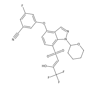 N#Cc1cc(F)cc(Oc2ccc(S(=O)(=O)/C=C(\O)C(F)(F)F)c3c2cnn3C2CCCCO2)c1